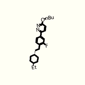 CCCCOc1ccc(-c2ccc(CC[C@H]3CC[C@H](CC)CC3)c(F)c2)nn1